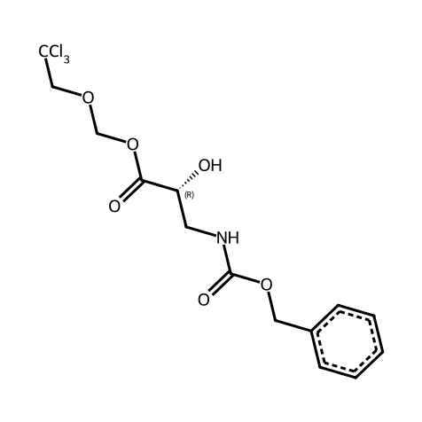 O=C(NC[C@@H](O)C(=O)OCOCC(Cl)(Cl)Cl)OCc1ccccc1